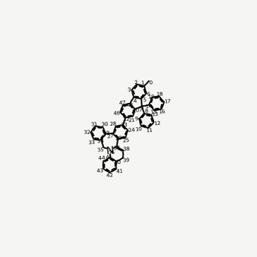 Cc1ccc2c(c1)C(c1ccccc1)(c1ccccc1)c1cc(-c3ccc4c(c3)-c3ccccc3CN3C4=CCc4ccccc43)ccc1-2